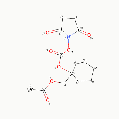 CC(C)C(=O)OCC1(OC(=O)ON2C(=O)CCC2=O)CCCCC1